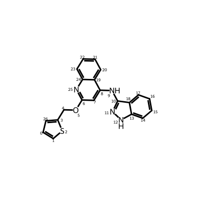 c1csc(COc2cc(Nc3n[nH]c4ccccc34)c3ccccc3n2)c1